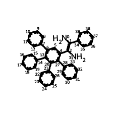 NC(=C(N)c1cc(-c2ccccc2)c(-c2ccccc2)c(-c2ccccc2)c1-c1ccccc1)c1ccccc1